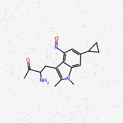 CC(=O)C(N)Cc1c(C)n(C)c2cc(C3CC3)cc(N=O)c12